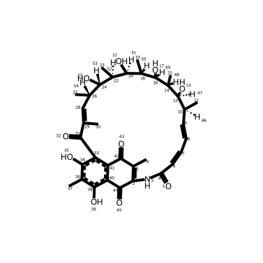 CC1=C2NC(=O)/C=C\C=C\[C@H](C)[C@H](O)[C@@H](C)[C@@H](O)[C@@H](C)[C@H](O)[C@H](C)[C@@H](O)[C@@H](C)/C=C(\C)C(=O)c3c(O)c(C)c(O)c(c3C1=O)C2=O